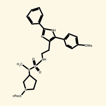 CCCCCN1CCC(N(C)S(=O)(=O)NCCc2nc(-c3ccccc3)[nH]c2-c2ccc(OC)cc2)C1